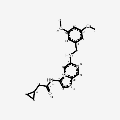 COc1cc(CNc2cn3c(NC(=O)CC4CC4)cnc3cn2)cc(OC)c1